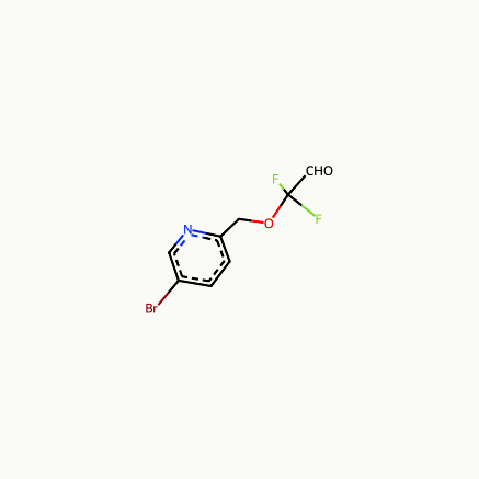 O=CC(F)(F)OCc1ccc(Br)cn1